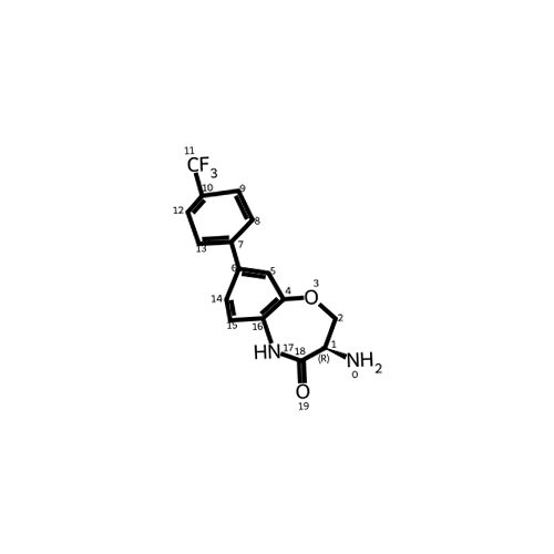 N[C@@H]1COc2cc(-c3ccc(C(F)(F)F)cc3)ccc2NC1=O